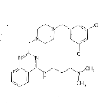 CN(C)CCCNc1nc(CN2CCN(Cc3cc(Cl)cc(Cl)c3)CC2)nc2ccccc12